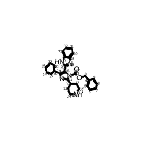 O=C(OCc1ccccc1)n1c(C2CCNCC2)nc(-c2ccccc2)c1-c1nc2ccccc2[nH]1